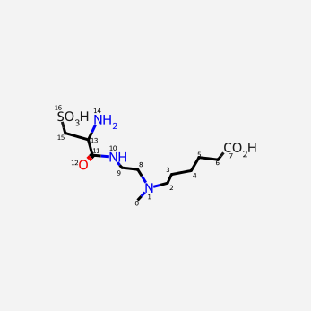 CN(CCCCCC(=O)O)CCNC(=O)C(N)CS(=O)(=O)O